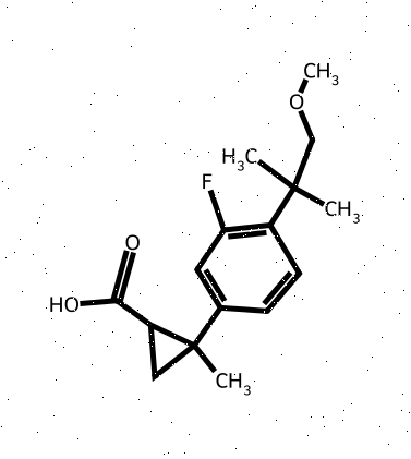 COCC(C)(C)c1ccc(C2(C)CC2C(=O)O)cc1F